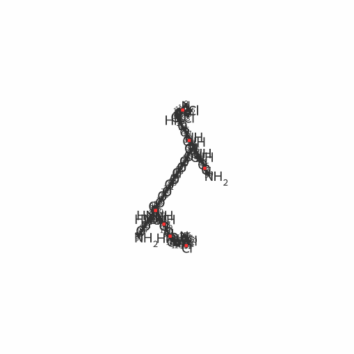 CN1Cc2c(Cl)cc(Cl)cc2[C@H](c2cccc(S(=O)(=O)NCCOCCOCCNC(=O)NCCN(CCNC(=O)NCCOCCOCCN)C(=O)CCOCCOCCOCCOCCOCCOCCOCCOCCOCCC(=O)N(CCNC(=O)NCCOCCOCCN)CCNC(=O)NCCOCCOCCNS(=O)(=O)c3cccc([C@@H]4CN(C)Cc5c(Cl)cc(Cl)cc54)c3)c2)C1